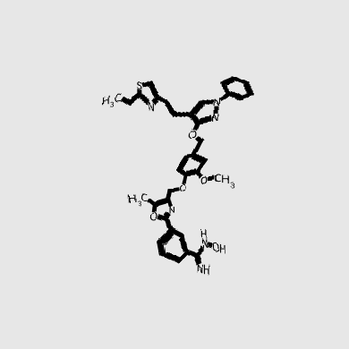 CCc1nc(C=Cc2cn(-c3ccccc3)nc2OCc2ccc(OCc3nc(-c4cccc(C(=N)NO)c4)oc3C)c(OC)c2)cs1